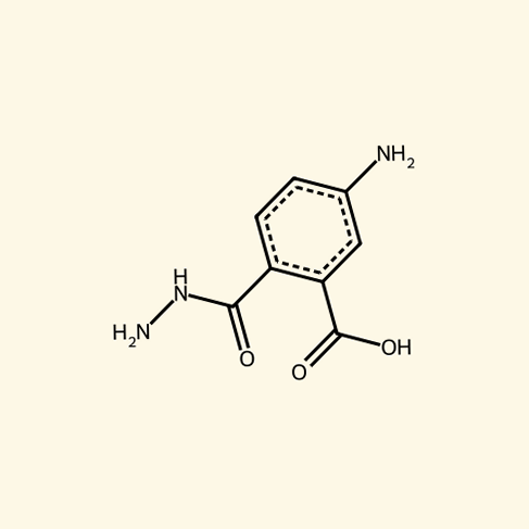 NNC(=O)c1ccc(N)cc1C(=O)O